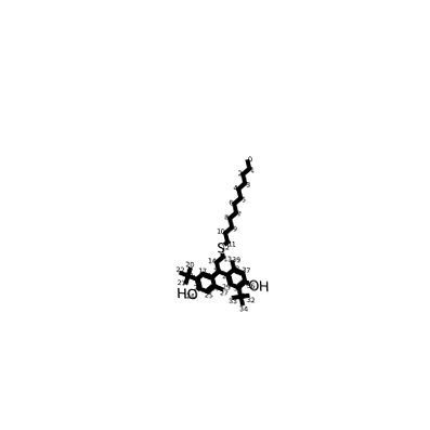 CCCCCCCCCCCCSCCC(c1cc(C(C)(C)C)c(O)cc1C)c1cc(C(C)(C)C)c(O)cc1C